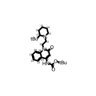 CC(C)(C)OC(=O)Nc1cc(=O)n(CCN2CC[CH]CC2C(C)(C)C)c2ccccc12